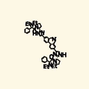 CCN(CC)[C@H](C(=O)N1CCC[C@H]1c1nc(-c2ccc3c(c2)CN(C)Cc2cc(-c4c[nH]c([C@@H]5CCCN5C(=O)[C@H](c5ccccc5)N(CC)CC)n4)ccc2-3)c[nH]1)c1ccccc1